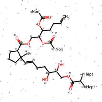 C=CCCC(OC(=O)CCCCCCCCC)C(COC(=O)C1CCCC1(/C=C/CCC(O)C(O)COC(=O)C(CCCCCCC)CCCCCCC)CCC)OC(=O)CCCCCCCCC